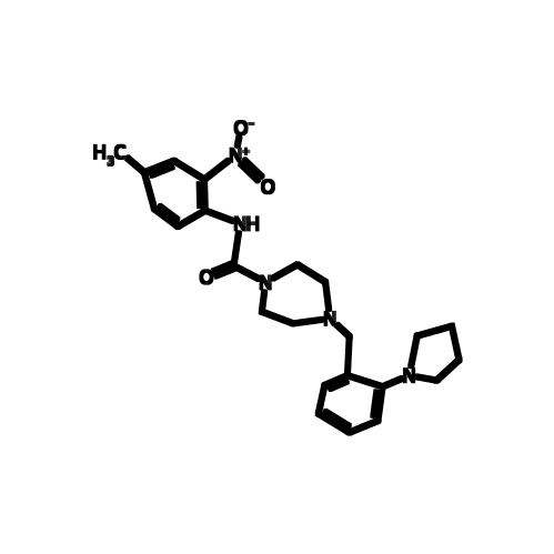 Cc1ccc(NC(=O)N2CCN(Cc3ccccc3N3CCCC3)CC2)c([N+](=O)[O-])c1